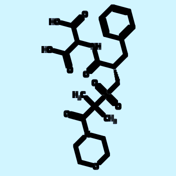 CC(C)(C(=O)N1CCOCC1)S(=O)(=O)C[C@@H](Cc1ccccc1)C(=O)NC(C(=O)O)C(=O)O